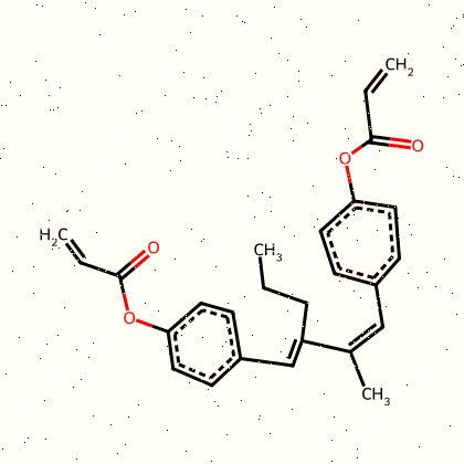 C=CC(=O)Oc1ccc(C=C(C)/C(=C/c2ccc(OC(=O)C=C)cc2)CCC)cc1